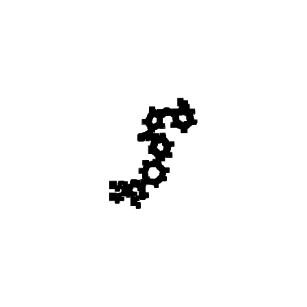 CC(C)(C)OC(=O)N1CCCN(c2cccc(C(=O)N3CCC(Oc4ccccc4F)C3)n2)CC1